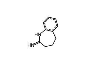 N=C1CCCc2ccccc2N1